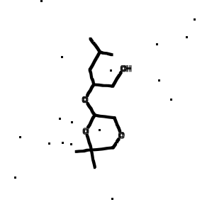 CC(C)CC(CO)OC1COCC(C)(C)O1